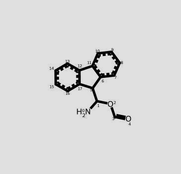 NC(O[C]=O)C1c2ccccc2-c2ccccc21